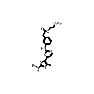 CCNc1nc(C)c(-c2ccnc(Nc3cccc(CC(=O)OCCOC)c3)n2)s1